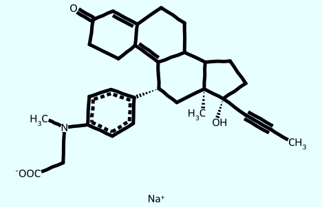 CC#C[C@]1(O)CCC2C3CCC4=CC(=O)CCC4=C3[C@@H](c3ccc(N(C)CC(=O)[O-])cc3)C[C@@]21C.[Na+]